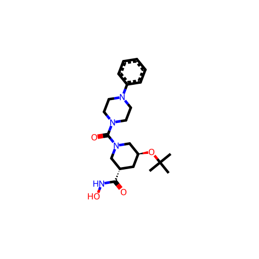 CC(C)(C)O[C@H]1C[C@H](C(=O)NO)CN(C(=O)N2CCN(c3ccccc3)CC2)C1